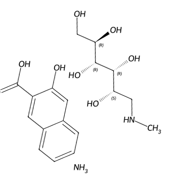 CNC[C@H](O)[C@@H](O)[C@H](O)[C@H](O)CO.N.O=C(O)c1cc2ccccc2cc1O